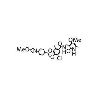 COc1cc(C)[nH]c(=O)c1CNC(=O)c1cc(Cl)c2c(c1C)OC(C1CCC(N3CC(OC)C3)CC1)CO2